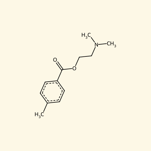 Cc1ccc(C(=O)OCCN(C)C)cc1